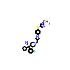 Cn1cc(Sc2ccc(N3CC(CN4CCC([C@@](C#N)(c5cccc(F)c5)C5CCCC5)CC4)C3)cc2)cn1